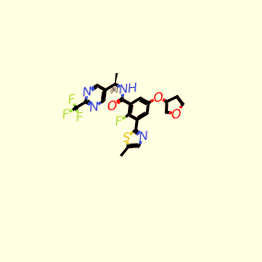 Cc1cnc(-c2cc(OC3CCOC3)cc(C(=O)N[C@H](C)c3cnc(C(F)(F)F)nc3)c2F)s1